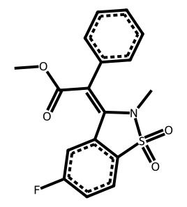 COC(=O)/C(=C1\c2cc(F)ccc2S(=O)(=O)N1C)c1ccccc1